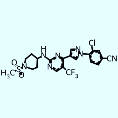 CS(=O)(=O)N1CCC(Nc2ncc(C(F)(F)F)c(-c3cnn(-c4ccc(C#N)cc4Cl)c3)n2)CC1